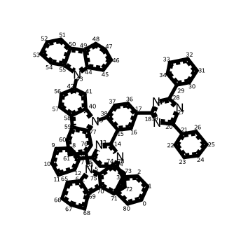 c1ccc(-c2cc(-c3ccccc3)nc(-c3cc(-c4nc(-c5ccccc5)nc(-c5ccccc5)n4)ccc3-n3c4cc(-n5c6ccccc6c6ccccc65)ccc4c4ccc(-n5c6ccccc6c6ccccc65)cc43)n2)cc1